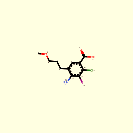 COCCCc1cc(C(=O)O)c(Cl)c(I)c1N